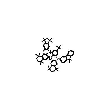 Cc1cc2c(cc1N1c3cc4c(cc3B3c5cc6c(cc5N(c5ccc7c(c5)-c5ccccc5C7(C)C)c5cc(C(C)(C)C)cc1c53)C(C)(C)CCC6(C)C)C(C)(C)CCC4(C)C)C(C)(C)CC2(C)C